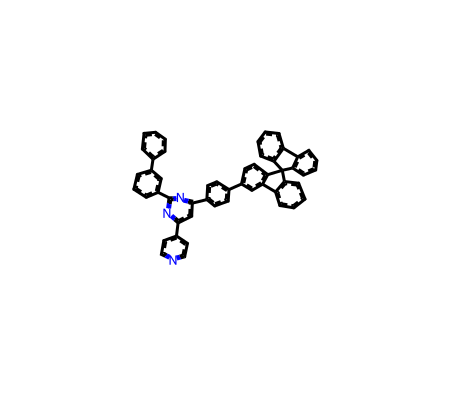 c1ccc(-c2cccc(-c3nc(-c4ccncc4)cc(-c4ccc(-c5ccc6c(c5)-c5ccccc5C65c6ccccc6-c6ccccc65)cc4)n3)c2)cc1